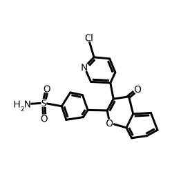 NS(=O)(=O)c1ccc(-c2oc3ccccc3c(=O)c2-c2ccc(Cl)nc2)cc1